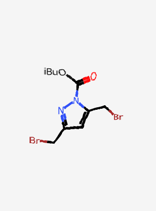 CC(C)COC(=O)n1nc(CBr)cc1CBr